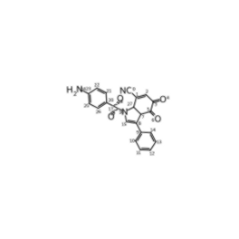 N#CC1=CC(=O)C(=O)C2C(c3ccccc3)=CN(S(=O)(=O)c3ccc(N)cc3)C12